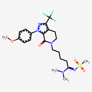 COc1ccc(-n2nc(C(F)(F)F)c3c2C(=O)N(CCCC/C(=N\S(C)(=O)=O)N(C)C)CC3)cc1